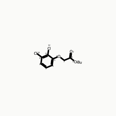 CC(C)COC(=O)COc1cccc(Cl)c1Cl